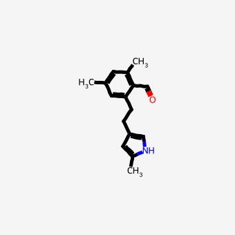 Cc1cc(C)c(C=O)c(CCc2c[nH]c(C)c2)c1